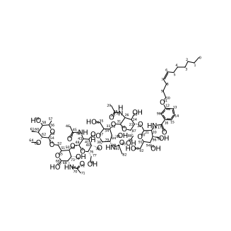 CCCCCC/C=C\CCCOc1cccc(C(=O)N[C@@H]2C(O[C@H]3C(O)C(NC(C)=O)C(OC4C(CO)O[C@@H](O[C@H]5C(O)C(NC(C)=O)[C@H](OC6C(CO[C@@H]7OC(C)C(O)[C@H](C)[C@H]7OC)OC(O)[C@@H](NC(C)=O)[C@H]6O)O[C@H]5CO)[C@@H](NC(C)=O)[C@H]4O)O[C@H]3CO)OC(CO)[C@@H](O)[C@@H]2O)c1